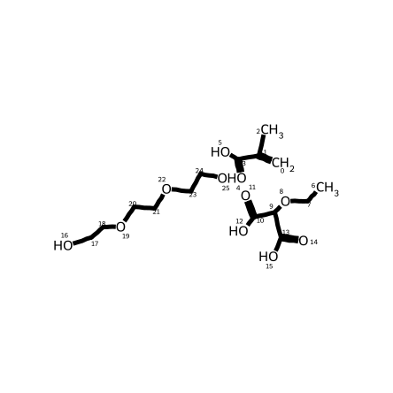 C=C(C)C(=O)O.CCOC(C(=O)O)C(=O)O.OCCOCCOCCO